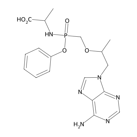 CC(Cn1cnc2c(N)ncnc21)OCP(=O)(NC(C)C(=O)O)Oc1ccccc1